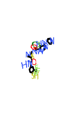 O=C(Nc1ccc(S)c(C(F)(F)F)c1)c1cnc(CNC(=O)c2ncnc(Nc3ccncc3)c2Cl)s1